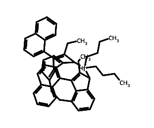 CCC[CH2][Hf]1([CH2]CCC)[CH]2C(CC)=C(c3cccc4ccccc34)c3c(cccc32)CCc2cccc3c2C(c2cccc4ccccc24)=C(CC)[CH]31